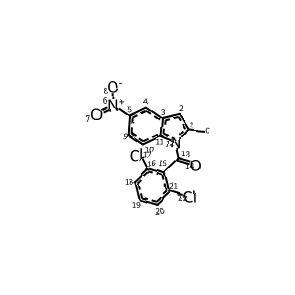 Cc1cc2cc([N+](=O)[O-])ccc2n1C(=O)c1c(Cl)cccc1Cl